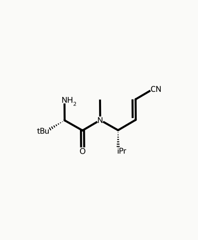 CC(C)[C@@H](C=CC#N)N(C)C(=O)[C@@H](N)C(C)(C)C